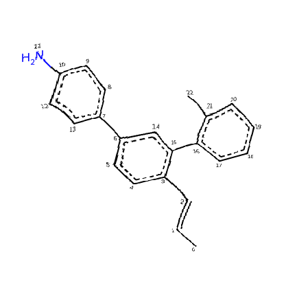 C/C=C/c1ccc(-c2ccc(N)cc2)cc1-c1ccccc1C